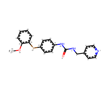 O=C(NCc1ccncc1)Nc1ccc(Sc2ccccc2OC(F)(F)F)cc1